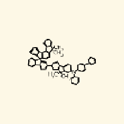 CC1(C)c2cc(-c3ccc4c(c3)C3(c5ccccc5-4)c4ccccc4-c4c3ccc3c4-c4ccccc4C3(C)C)ccc2-c2ccc(N(c3ccccc3)c3ccc(-c4ccccc4)cc3)cc21